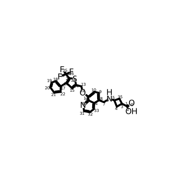 O=C(O)C1CC(NCc2ccc(OCc3cc(-c4ccccc4)c(C(F)(F)F)s3)c3ncccc23)C1